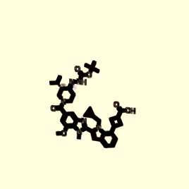 COc1cc(C(=O)N2CC/C(=N\NC(=O)OC(C)(C)C)[C@@H](C(C)C)C2)cc2nc(-c3cc4cccc(C5CC(C(=O)O)C5)c4n3CC3CC3)n(C)c12